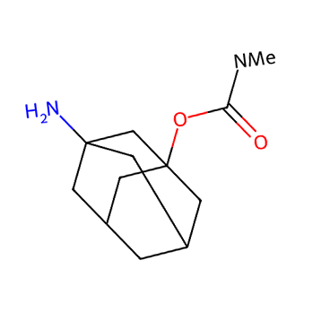 CNC(=O)OC12CC3CC(CC(N)(C3)C1)C2